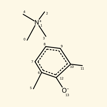 C[N+](C)(C)C.Cc1cccc(C)c1[O-]